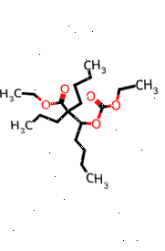 CCCCC(OC(=O)OCC)C(CCC)(CCCC)C(=O)OCC